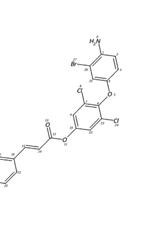 Nc1ccc(Oc2c(Cl)cc(OC(=O)C=Cc3ccccc3)cc2Cl)cc1Br